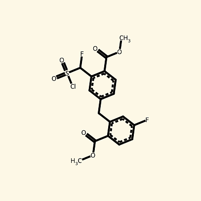 COC(=O)c1ccc(F)cc1Cc1ccc(C(=O)OC)c(C(F)S(=O)(=O)Cl)c1